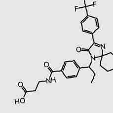 CCC(c1ccc(C(=O)NCCC(=O)O)cc1)N1C(=O)C(c2ccc(C(F)(F)F)cc2)=NC12CCCCC2